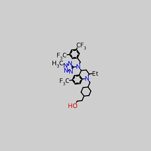 CCC1CC(N(Cc2cc(C(F)(F)F)cc(C(F)(F)F)c2)c2nnn(C)n2)c2cc(C(F)(F)F)ccc2N1CC1CCC(CCO)CC1